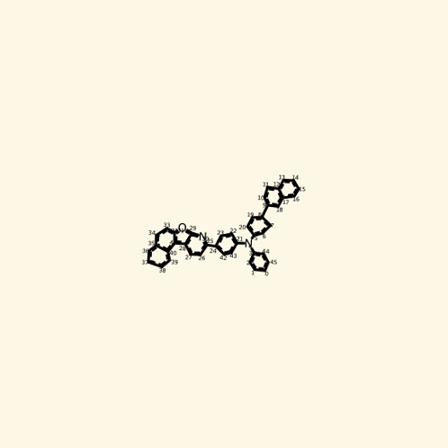 c1ccc(N(c2ccc(-c3ccc4ccccc4c3)cc2)c2ccc(-c3ccc4c(n3)oc3ccc5ccccc5c34)cc2)cc1